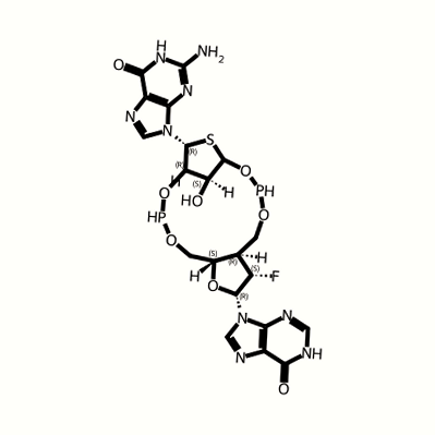 Nc1nc2c(ncn2[C@@H]2SC3OPOC[C@H]4[C@H](F)[C@H](n5cnc6c(=O)[nH]cnc65)O[C@@H]4COPO[C@@H]2[C@@H]3O)c(=O)[nH]1